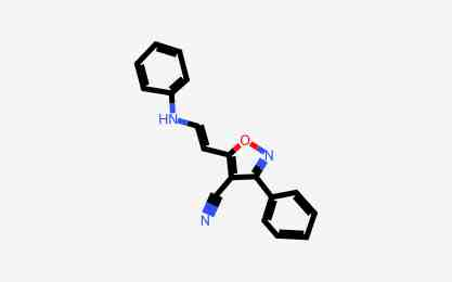 N#Cc1c(-c2ccccc2)noc1/C=C/Nc1ccccc1